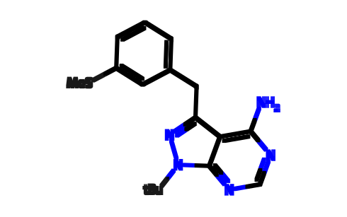 CSc1cccc(Cc2nn(C(C)(C)C)c3ncnc(N)c23)c1